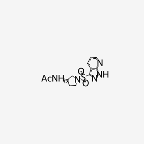 CC(=O)N[C@H]1CCN(S(=O)(=O)c2n[nH]c3ncccc23)C1